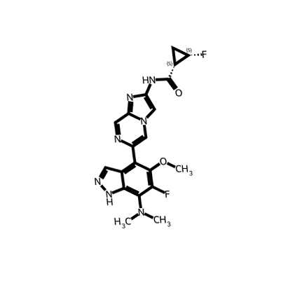 COc1c(F)c(N(C)C)c2[nH]ncc2c1-c1cn2cc(NC(=O)[C@@H]3C[C@@H]3F)nc2cn1